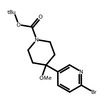 COC1(c2ccc(Br)nc2)CCN(C(=O)OC(C)(C)C)CC1